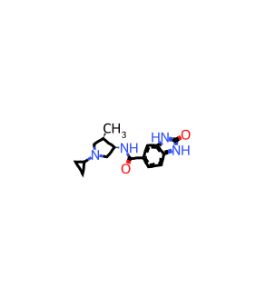 C[C@H]1CN(C2CC2)C[C@H]1NC(=O)c1ccc2[nH]c(=O)[nH]c2c1